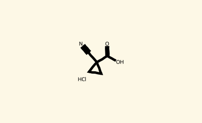 Cl.N#CC1(C(=O)O)CC1